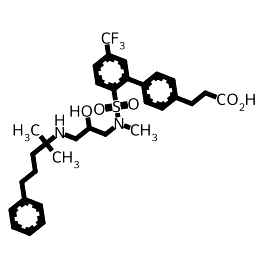 CN(CC(O)CNC(C)(C)CCCc1ccccc1)S(=O)(=O)c1ccc(C(F)(F)F)cc1-c1ccc(CCC(=O)O)cc1